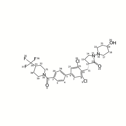 O=C(c1ccc(-c2cc(Cl)c(C[C@@H]3CCN(N4CCC(O)CC4)C3=O)c(Cl)c2)cc1)N1CCC(C(F)(F)F)CC1